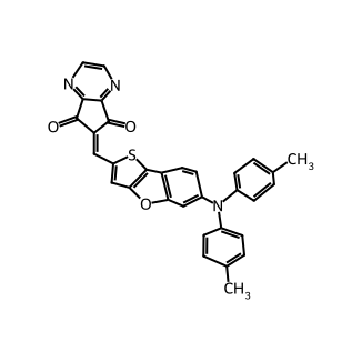 Cc1ccc(N(c2ccc(C)cc2)c2ccc3c(c2)oc2cc(C=C4C(=O)c5nccnc5C4=O)sc23)cc1